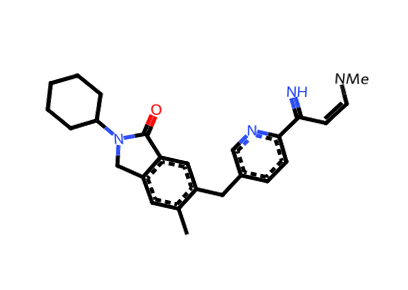 CN/C=C\C(=N)c1ccc(Cc2cc3c(cc2C)CN(C2CCCCC2)C3=O)cn1